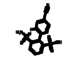 N#Cc1ccc(-c2c(S(N)(=O)=O)cccc2S(=O)(=O)O)c(F)c1